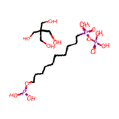 O=P(O)(O)OP(=O)(O)CCCCCCCCCCOP(O)O.OCC(CO)(CO)CO